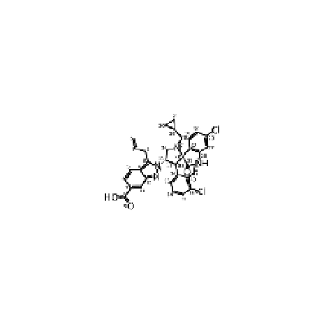 C=CCc1c2ccc(C(=O)O)cc2nn1[C@@H]1CN(CC2CC2)[C@@]2(C(=O)Nc3cc(Cl)ccc32)[C@H]1c1cccc(Cl)c1F